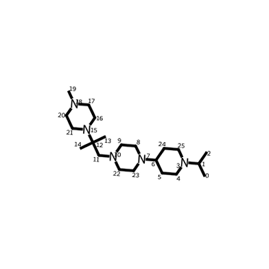 CC(C)N1CCC(N2CCN(CC(C)(C)N3CCN(C)CC3)CC2)CC1